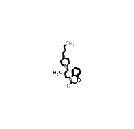 CCCC=C1CCN(C[C@@H](C)CN2C(=O)COc3ccccc32)CC1